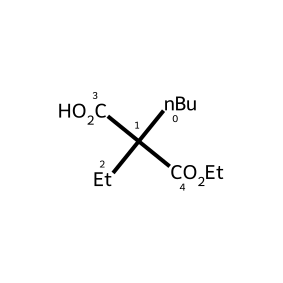 CCCCC(CC)(C(=O)O)C(=O)OCC